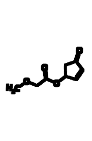 COCC(=O)OC1C=CC(=O)C1